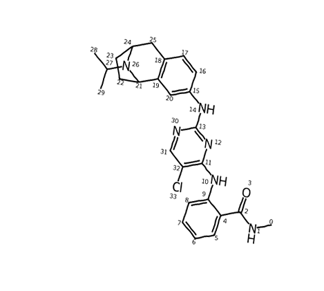 CNC(=O)c1ccccc1Nc1nc(Nc2ccc3c(c2)C2CCC(C3)N2C(C)C)ncc1Cl